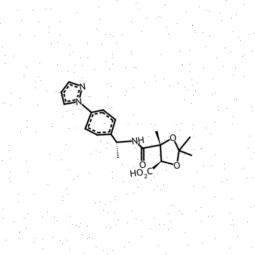 C[C@@H](NC(=O)[C@]1(C)OC(C)(C)O[C@H]1C(=O)O)c1ccc(-n2cccn2)cc1